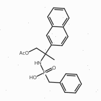 CC(=O)OCC(C)(NP(=O)(O)Cc1ccccc1)c1ccc2ccccc2c1